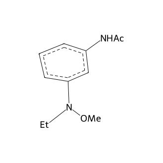 CCN(OC)c1cccc(NC(C)=O)c1